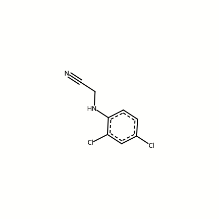 N#CCNc1ccc(Cl)cc1Cl